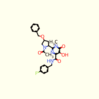 CC(=O)N1CC(OCc2ccccc2)CC1c1nc(C(=O)NCc2ccc(F)cc2)c(O)c(=O)n1C